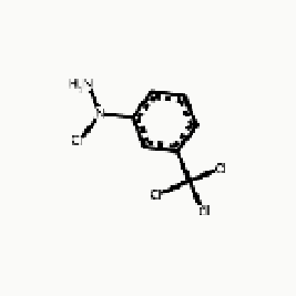 NN(Cl)c1cccc(C(Cl)(Cl)Cl)c1